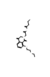 CCCC(=O)NC(=O)CN1CC(=O)c2cccc(NCCOCC)c2C1=O